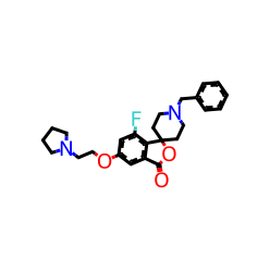 O=C1OC2(CCN(Cc3ccccc3)CC2)c2c(F)cc(OCCN3CCCC3)cc21